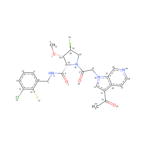 CO[C@H]1[C@@H](C(=O)NCc2cccc(Cl)c2F)N(C(=O)Cn2cc(C(C)=O)c3ccncc32)C[C@@H]1F